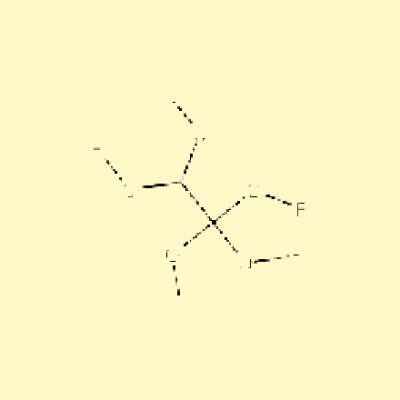 FO[C](OF)C(OF)(OF)OF